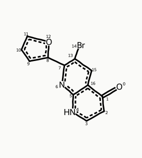 O=c1cc[nH]c2nc(-c3ccco3)c(Br)cc12